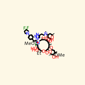 CC[C@H]1OC(=O)[C@H](C)[C@@H](O[C@H]2C[C@@](C)(OC)[C@@H](O)[C@H](C)O2)[C@H](C)[C@@H](O[C@@H]2O[C@H](C)C[C@H](N(C)CCc3cn([C@H](CF)[C@H](OC)c4ccc(N5CCC(F)(F)C5)cc4)nn3)[C@H]2O)[C@](C)(O)C[C@@H](C)CN(C)[C@H](C)[C@@H](O)[C@]1(C)O